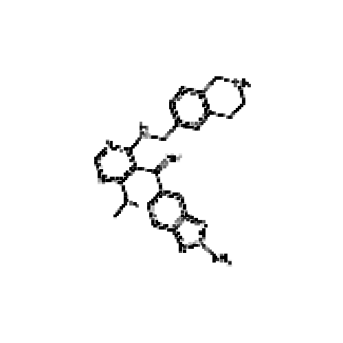 CN(C)c1ncnc(NCc2ccc3c(c2)CCNC3)c1C(=N)c1ccc2oc(N)nc2c1